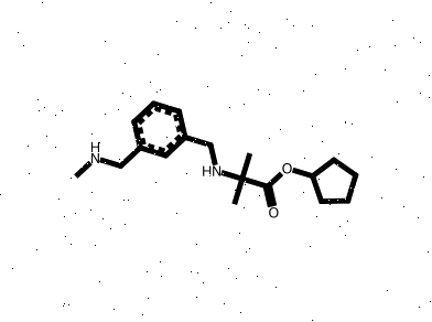 CNCc1cccc(CNC(C)(C)C(=O)OC2CCCC2)c1